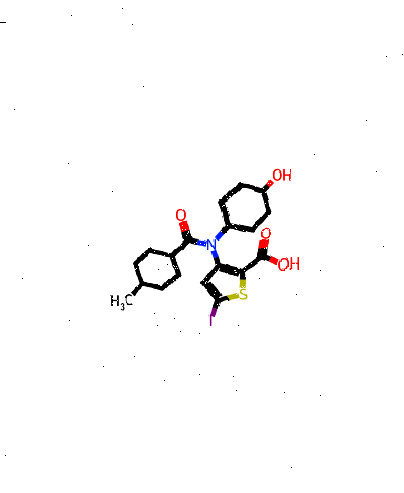 CC1CCC(C(=O)N(c2cc(I)sc2C(=O)O)C2CCC(O)CC2)CC1